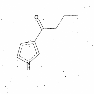 CCCC(=O)c1cc[nH]c1